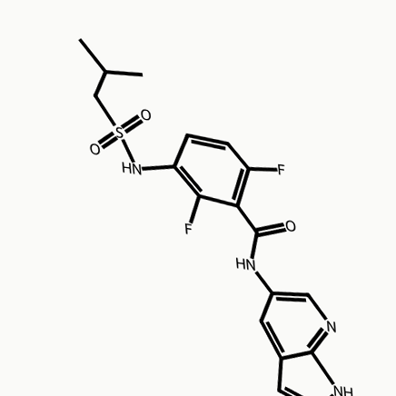 CC(C)CS(=O)(=O)Nc1ccc(F)c(C(=O)Nc2cnc3[nH]ccc3c2)c1F